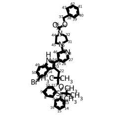 CC(C)(CO[Si](c1ccccc1)(c1ccccc1)C(C)(C)C)Cc1c(-c2ccnc(N3CCN(C(=O)OCc4ccccc4)CC3)c2)[nH]c2ccc(Br)cc12